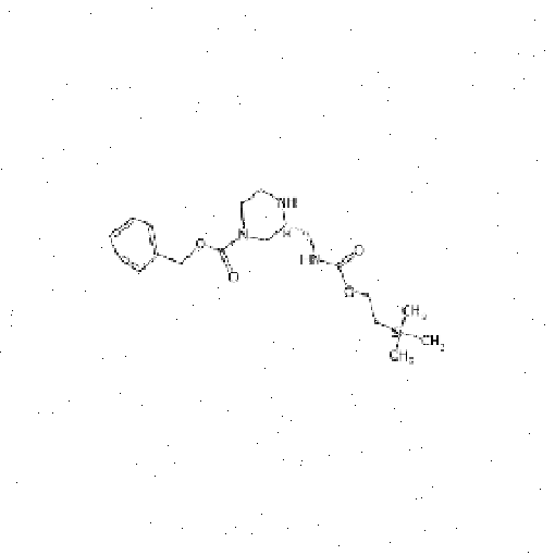 C[Si](C)(C)CCOC(=O)NC[C@@H]1CN(C(=O)OCc2ccccc2)CCN1